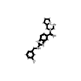 B=C(c1ccc2oc(NCc3cccc(Cl)c3)nc2c1)N(CC(C)C)CC1CCCO1